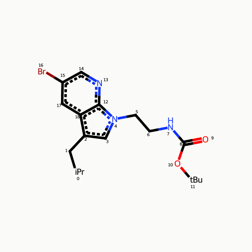 CC(C)Cc1cn(CCNC(=O)OC(C)(C)C)c2ncc(Br)cc12